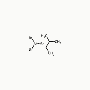 [Br][Al]([Br])[Br].[CH2]CC(C)C